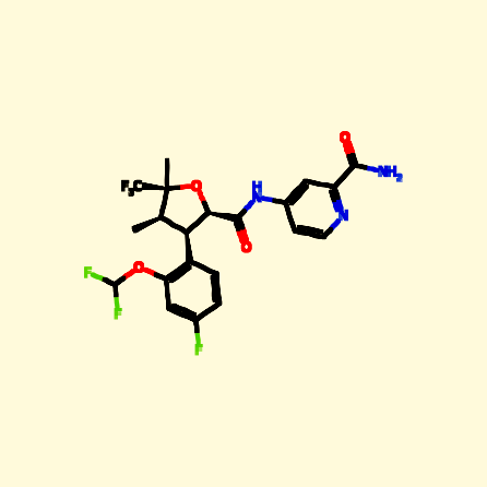 C[C@@H]1[C@H](c2ccc(F)cc2OC(F)F)[C@H](C(=O)Nc2ccnc(C(N)=O)c2)O[C@]1(C)C(F)(F)F